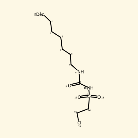 CCCCCCCCCCCCCCCCNC(=O)NS(=O)(=O)CCCl